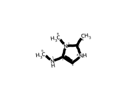 CNC1=CNC(C)N1C